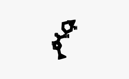 O=C(N[C@@H]1CCN2C[C@H]2C1)c1cc(C2CC2)on1